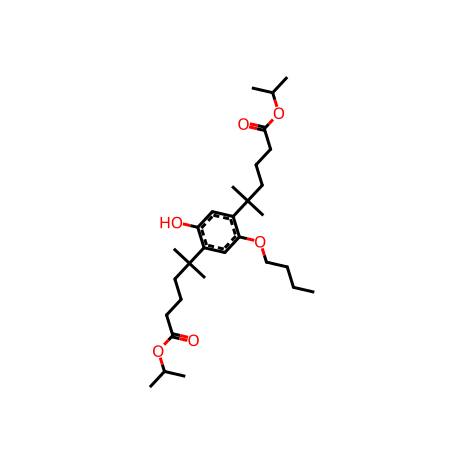 CCCCOc1cc(C(C)(C)CCCC(=O)OC(C)C)c(O)cc1C(C)(C)CCCC(=O)OC(C)C